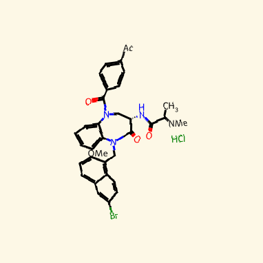 CNC(C)C(=O)N[C@H]1CN(C(=O)c2ccc(C(C)=O)cc2)c2ccccc2N(Cc2c(OC)ccc3cc(Br)ccc23)C1=O.Cl